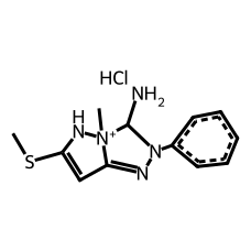 CSC1=CC2=NN(c3ccccc3)C(N)[N+]2(C)N1.Cl